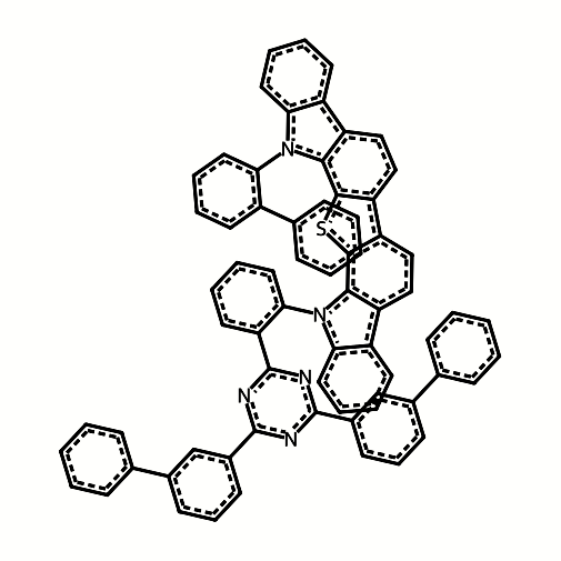 c1ccc(-c2cccc(-c3nc(-c4cccc(-c5ccccc5)c4)nc(-c4ccccc4-n4c5ccccc5c5ccc6c7ccc8c9ccccc9n(-c9ccccc9-c9ccccc9)c8c7sc6c54)n3)c2)cc1